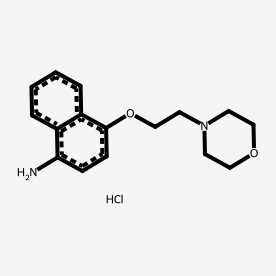 Cl.Nc1ccc(OCCN2CCOCC2)c2ccccc12